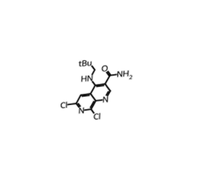 CC(C)(C)CNc1c(C(N)=O)cnc2c(Cl)nc(Cl)cc12